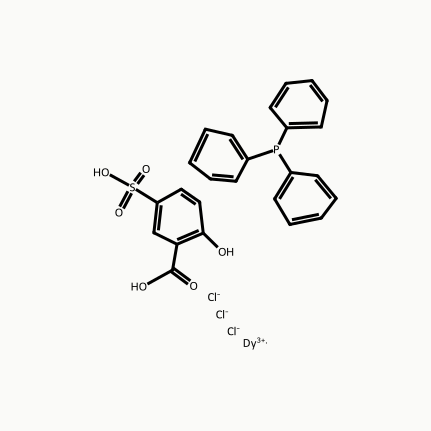 O=C(O)c1cc(S(=O)(=O)O)ccc1O.[Cl-].[Cl-].[Cl-].[Dy+3].c1ccc(P(c2ccccc2)c2ccccc2)cc1